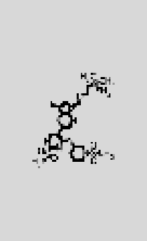 C[Si](C)(C)CCOCn1cc(I)c2nc(-c3cnc(S(C)(=O)=O)nc3NC3CCCN(S(C)(=O)=O)C3)cnc21